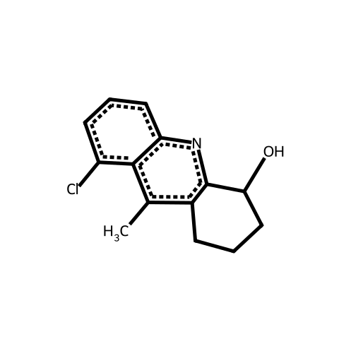 Cc1c2c(nc3cccc(Cl)c13)C(O)CCC2